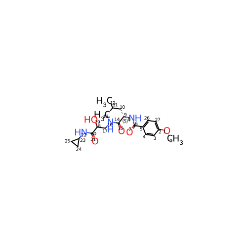 COc1ccc(C(=O)N[C@@H](CC(C)C)C(=O)NCC(O)C(=O)NC2CC2)cc1